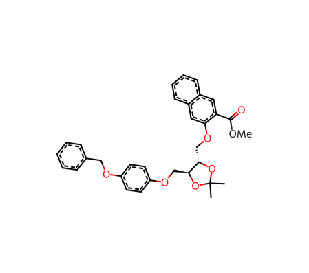 COC(=O)c1cc2ccccc2cc1OC[C@@H]1OC(C)(C)O[C@H]1COc1ccc(OCc2ccccc2)cc1